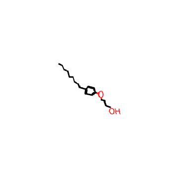 CCCCCCCCCc1ccc(OCC=CCO)cc1